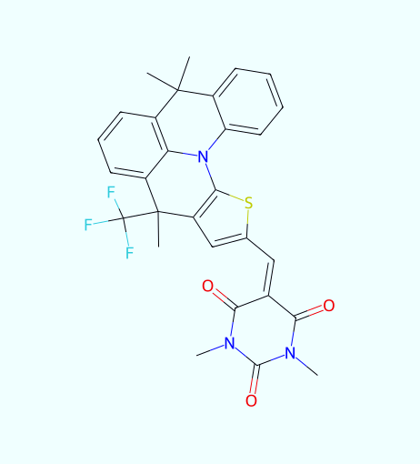 CN1C(=O)C(=Cc2cc3c(s2)N2c4ccccc4C(C)(C)c4cccc(c42)C3(C)C(F)(F)F)C(=O)N(C)C1=O